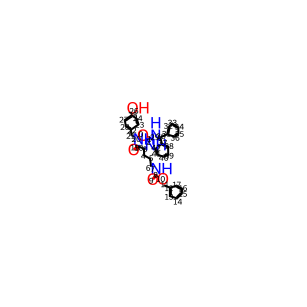 O=C(NC(CCCNC(=O)OCc1ccccc1)C(=O)NCc1ccc(O)cc1)NC(c1ccccc1)c1ccccc1